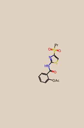 CC(=O)Oc1ccccc1C(=O)Nc1nc(S(=O)(=O)C(C)C)cs1